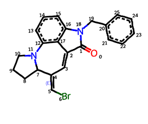 O=C1C2=C/C(=C\Br)C3CCCN3c3cccc(c32)N1Cc1ccccc1